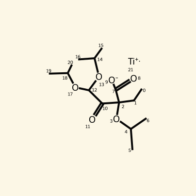 CCC(OC(C)C)(C(=O)[O-])C(=O)C(OC(C)C)OC(C)C.[Ti+]